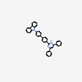 C1=C(c2ccccc2)N=C(c2ccc(-c3ccc(-n4c5ccccc5c5ccccc54)cc3)cc2)NC1c1ccccc1